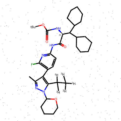 [2H]C([2H])([2H])C([2H])([2H])c1c(-c2ccc(NC(=O)[C@@H](NC(=O)OC(C)(C)C)C(C3CCCCC3)C3CCCCC3)nc2F)c(C)nn1C1CCCCO1